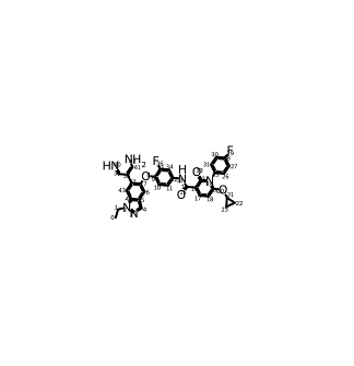 CCn1ncc2cc(Oc3ccc(NC(=O)c4ccc(OC5CC5)n(-c5ccc(F)cc5)c4=O)cc3F)c(/C(C=N)=C/N)cc21